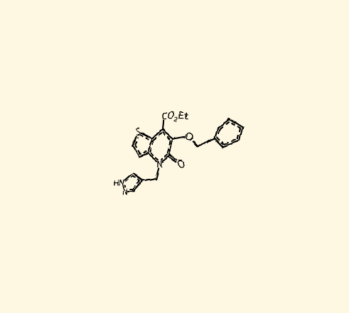 CCOC(=O)c1c(OCc2ccccc2)c(=O)n(Cc2cn[nH]c2)c2ccsc12